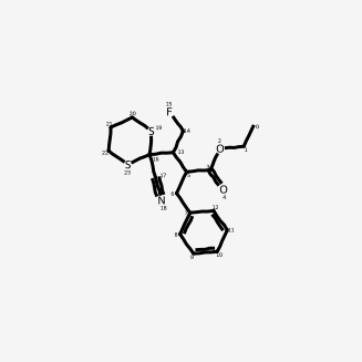 CCOC(=O)C(Cc1ccccc1)C(CF)C1(C#N)SCCCS1